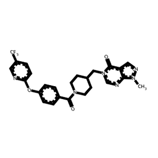 Cn1ncc2c(=O)n(CC3CCN(C(=O)c4ccc(Oc5ccc(C(F)(F)F)cn5)cc4)CC3)cnc21